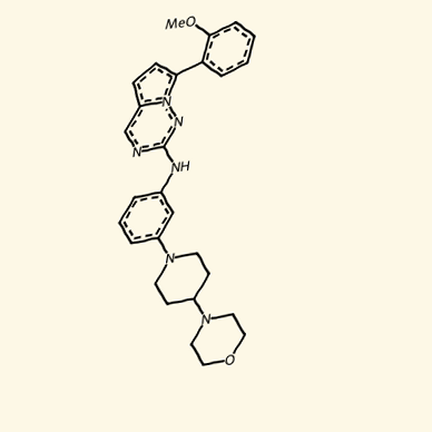 COc1ccccc1-c1ccc2cnc(Nc3cccc(N4CCC(N5CCOCC5)CC4)c3)nn12